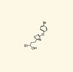 CCC(O)CCc1nc(Oc2ccc(Br)cc2)cs1